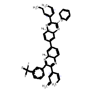 C=C/C=C(\C=C/C)C1=NC2C=CC(C3=CC4N=C([C@H]5C=CC=CC5)C(C(/C=C\C)=C/CC)=N[C@@H]4C=C3)=C[C@@H]2N=C1c1cccc(C(F)(F)F)c1